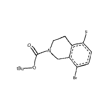 CC(C)(C)OC(=O)N1CCc2c(F)ccc(Br)c2C1